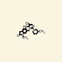 C[C@H]1CCCN(c2ncc(Cl)c(Nc3cc4c(cc3F)N(C)C(=O)C4)n2)C1